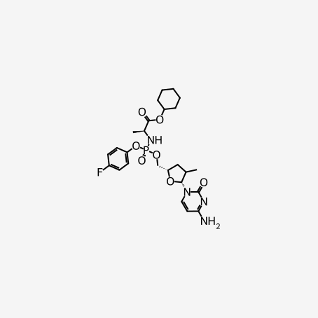 CC1C[C@@H](COP(=O)(N[C@@H](C)C(=O)OC2CCCCC2)Oc2ccc(F)cc2)O[C@H]1n1ccc(N)nc1=O